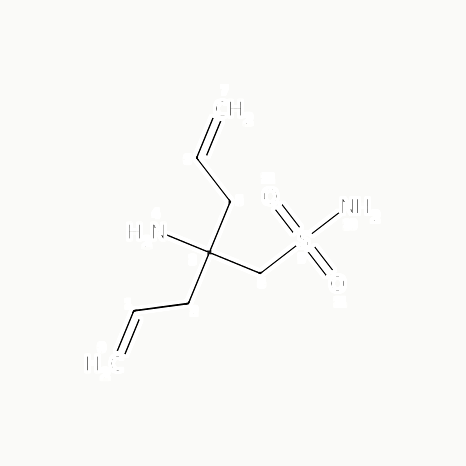 C=CCC(N)(CC=C)CS(N)(=O)=O